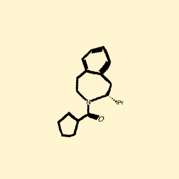 CC(C)[C@H]1Cc2ccccc2CCN1C(=O)C1CCCC1